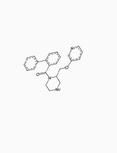 O=C(c1ccccc1-c1ccccc1)N1CCNCC1COc1cccnc1